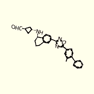 Cc1cc(-c2nc(-c3ccc4c(c3)CCC[C@H]4N[C@H]3C[C@H](C=O)C3)no2)ccc1-c1ccccc1